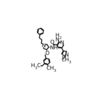 CCc1cc(CO[C@H]2CN(CCCc3ccccc3)C[C@@H]2NC(=O)c2cc(-c3cnn(C)c3)cnc2N)ccc1C